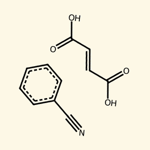 N#Cc1ccccc1.O=C(O)/C=C/C(=O)O